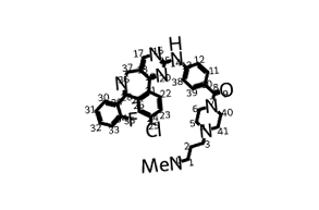 CNCCCN1CCN(C(=O)c2ccc(Nc3ncc4c(n3)-c3ccc(Cl)cc3C(c3ccccc3F)=NC4)cc2)CC1